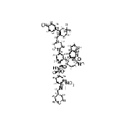 CN=S1(=O)CCCN(c2cc(N3CCN(CC4=C(c5ccc(Cl)cc5)CC(C)(C)CC4)CC3)ccc2C(=O)NS(=O)(=O)c2ccc(NCC3CCOCC3)c([N+](=O)[O-])c2)c2cc3cc[nH]c3nc21